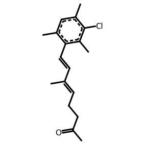 CC(=O)CC/C=C(C)/C=C/c1c(C)cc(C)c(Cl)c1C